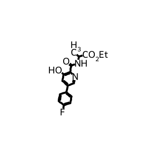 CCOC(=O)C(C)NC(=O)c1ncc(-c2ccc(F)cc2)cc1O